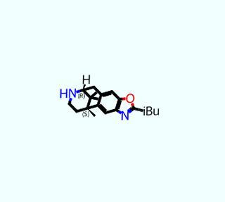 CCC(C)c1nc2cc3c(cc2o1)C[C@H]1NCC[C@]3(C)C1(C)C